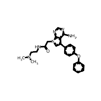 CN(C)CCNC(=O)Cn1cc(-c2ccc(Oc3ccccc3)cc2)c2c(N)ncnc21